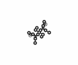 c1ccc(-c2ccc(N(c3ccc4c(c3)oc3ccccc34)c3ccc4c(-c5cccc6ccccc56)c5cc(N(c6ccc(-c7ccccc7)cc6)c6ccc7c(c6)oc6ccccc67)ccc5c(-c5cccc6ccccc56)c4c3)cc2)cc1